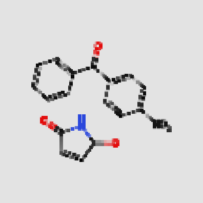 O=C(c1ccccc1)c1ccc([N+](=O)[O-])cc1.O=C1C=CC(=O)N1